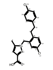 Cc1cc(C(=O)O)nn1Cc1cc(Cl)ccc1CCc1ccc(Cl)cc1